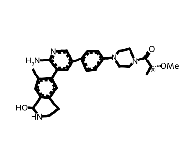 CO[C@H](C)C(=O)N1CCN(c2ccc(-c3cnc(N)c(-c4cc5c(cc4C)C(O)NCC5)c3)cc2)CC1